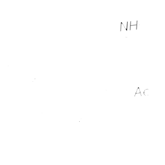 CC(=O)c1ccc(C)cc1[NH]